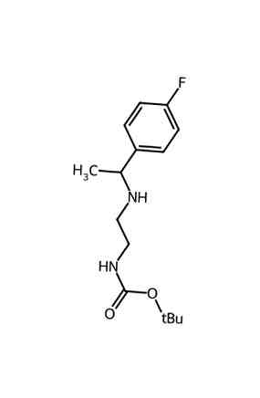 CC(NCCNC(=O)OC(C)(C)C)c1ccc(F)cc1